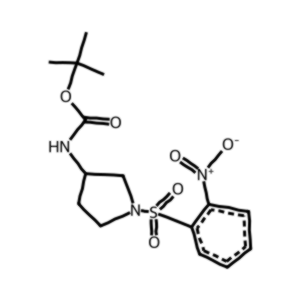 CC(C)(C)OC(=O)NC1CCN(S(=O)(=O)c2ccccc2[N+](=O)[O-])C1